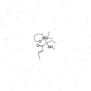 [CH2]CC(N)(C(=O)C=CC)C1([SiH](C)C)CCCCO1